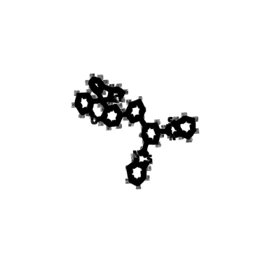 c1cc(-c2cc(-c3nc4ccccc4s3)cc(-c3nc4ccccc4s3)c2)cc(-c2ccc3c(c2)C2(c4ccccc4O3)c3ccccc3-c3ccccc32)c1